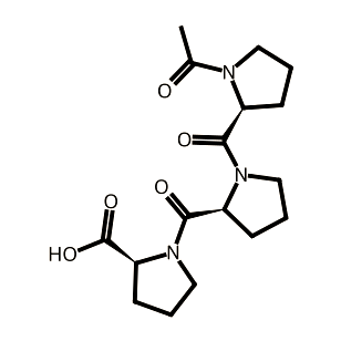 CC(=O)N1CCC[C@H]1C(=O)N1CCC[C@H]1C(=O)N1CCC[C@H]1C(=O)O